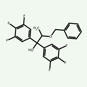 CC(OCc1ccccc1)C(O)(c1cc(F)c(F)c(F)c1)c1cc(F)c(F)c(F)c1